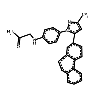 NC(=O)CNc1ccc(-n2nc(C(F)(F)F)cc2-c2ccc3c(ccc4ccccc43)c2)cc1